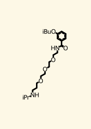 CC(C)COc1cccc(C(=O)NCCOCCOCCOCCCNC(C)C)c1